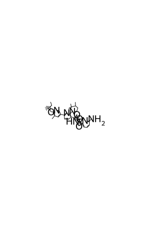 CC[C@@H](C)Oc1ncc(-c2ccc(C(=O)NS(=O)(=O)c3cccc(N)n3)c(N3CCC(C)C3(C)C)n2)cc1C